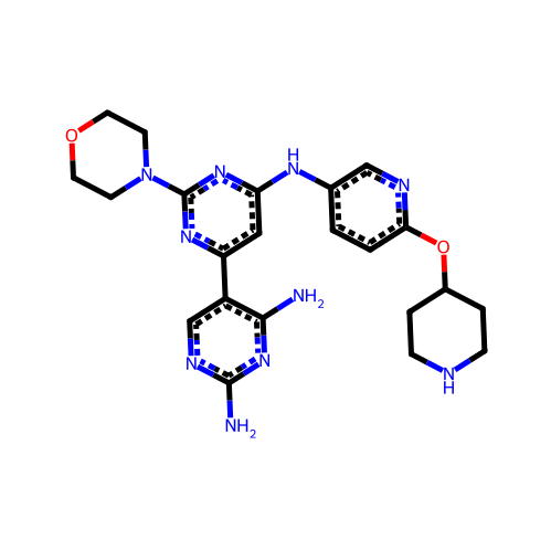 Nc1ncc(-c2cc(Nc3ccc(OC4CCNCC4)nc3)nc(N3CCOCC3)n2)c(N)n1